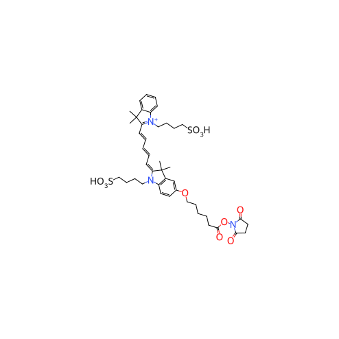 CC1(C)C(/C=C/C=C/C=C2/N(CCCCS(=O)(=O)O)c3ccc(OCCCCCC(=O)ON4C(=O)CCC4=O)cc3C2(C)C)=[N+](CCCCS(=O)(=O)O)c2ccccc21